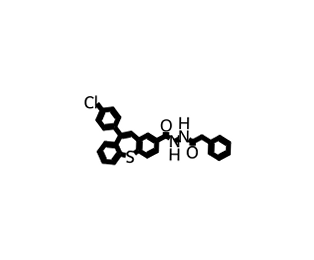 O=C(Cc1ccccc1)NNC(=O)c1ccc2c(c1)C=C(c1ccc(Cl)cc1)c1ccccc1S2